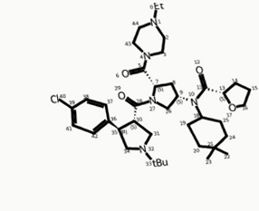 CCN1CCN(C(=O)[C@@H]2C[C@H](N(C(=O)[C@@H]3CCCO3)C3CCC(C)(C)CC3)CN2C(=O)[C@@H]2CN(C(C)(C)C)C[C@H]2c2ccc(Cl)cc2)CC1